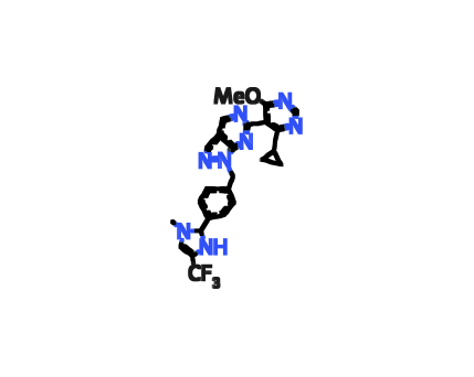 COc1ncnc(C2CC2)c1-c1ncc2cnn(Cc3ccc(C4NC(C(F)(F)F)=CN4C)cc3)c2n1